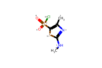 CNc1nc(C)c(S(=O)(=O)Cl)s1